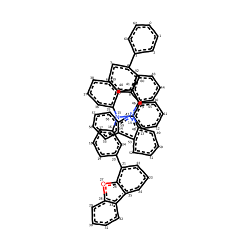 c1ccc(-c2cccc(-c3ccccc3N(c3cccc(-c4cccc5c4oc4ccccc45)c3)c3ccccc3-c3ccccc3-n3c4ccccc4c4ccccc43)c2)cc1